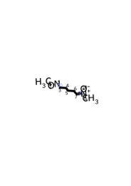 CO/N=C/CCC/C=[N+](/C)[O-]